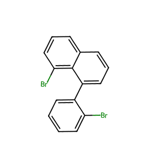 Brc1ccccc1-c1cccc2cccc(Br)c12